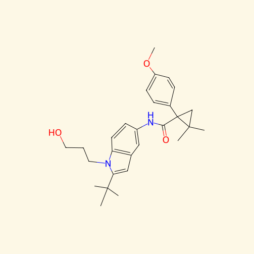 COc1ccc(C2(C(=O)Nc3ccc4c(c3)cc(C(C)(C)C)n4CCCO)CC2(C)C)cc1